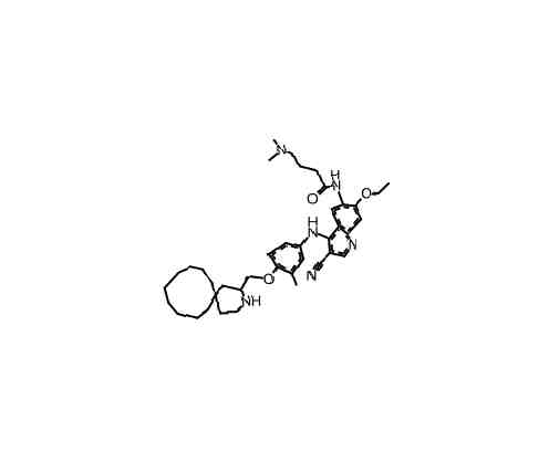 CCOc1cc2ncc(C#N)c(Nc3ccc(OCC4CC5(CCCCCCCCC5)CCN4)c(C)c3)c2cc1NC(=O)CCCN(C)C